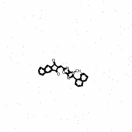 Cn1c(-c2cccc3ccccc23)nc2oc(C=C3C(=O)c4cc5ccccc5cc4C3=O)nc21